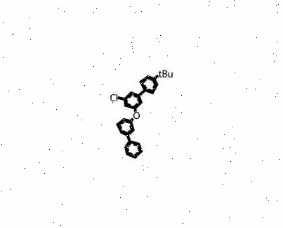 CC(C)(C)c1ccc(-c2cc(Cl)cc(Oc3cccc(-c4ccccc4)c3)c2)cc1